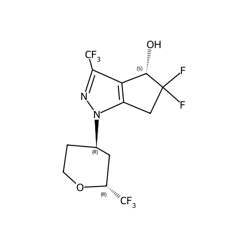 O[C@H]1c2c(C(F)(F)F)nn([C@@H]3CCO[C@@H](C(F)(F)F)C3)c2CC1(F)F